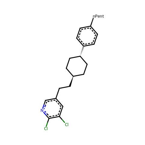 CCCCCc1ccc([C@H]2CC[C@H](CCc3cnc(Cl)c(Cl)c3)CC2)cc1